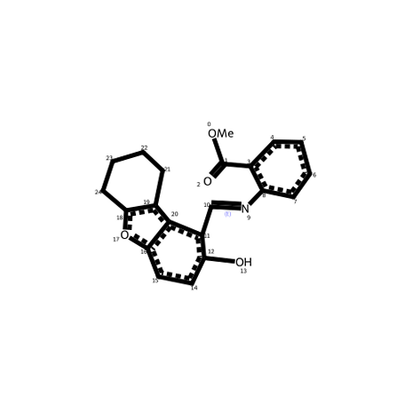 COC(=O)c1ccccc1/N=C/c1c(O)ccc2oc3c(c12)CCCC3